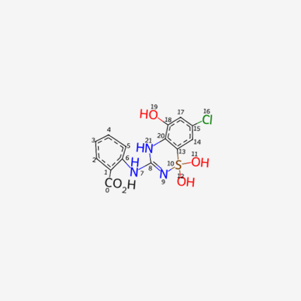 O=C(O)c1ccccc1NC1=NS(O)(O)c2cc(Cl)cc(O)c2N1